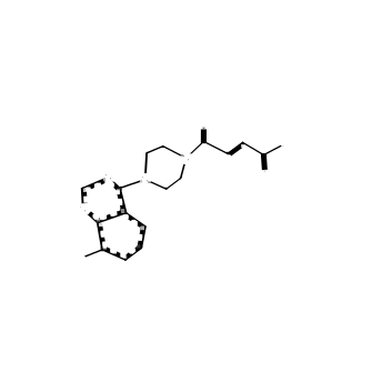 CC(=O)C=CC(=O)N1CCN(c2ncnc3c(F)cccc23)CC1